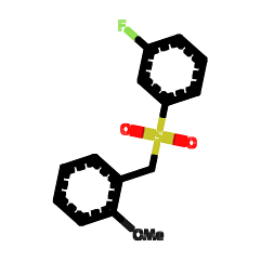 COc1ccccc1CS(=O)(=O)c1cccc(F)c1